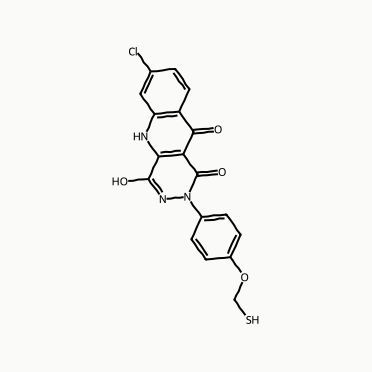 O=c1c2ccc(Cl)cc2[nH]c2c(O)nn(-c3ccc(OCS)cc3)c(=O)c12